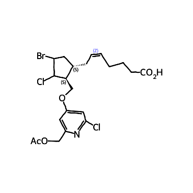 CC(=O)OCc1cc(OC[C@H]2C(Cl)C(Br)C[C@@H]2C/C=C\CCCC(=O)O)cc(Cl)n1